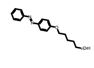 CCCCCCCCCCCCCCCOc1ccc(N=Nc2ccccc2)cc1